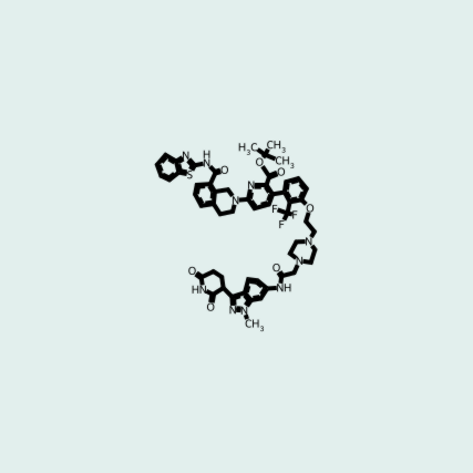 Cn1nc(C2CCC(=O)NC2=O)c2ccc(NC(=O)CN3CCN(CCOc4cccc(-c5ccc(N6CCc7cccc(C(=O)Nc8nc9ccccc9s8)c7C6)nc5C(=O)OC(C)(C)C)c4C(F)(F)F)CC3)cc21